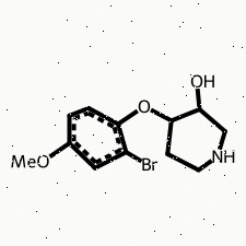 COc1ccc(OC2CCNCC2O)c(Br)c1